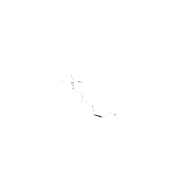 CC/C=C\COCCC(C)(C)C